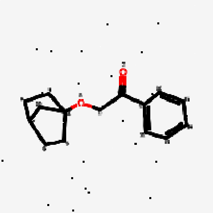 O=C(COC12CCC(CC1)C2)c1ccccc1